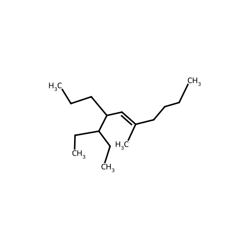 CCCCC(C)=CC(CCC)C(CC)CC